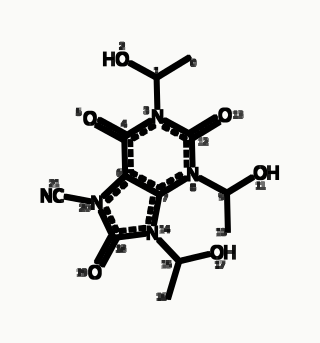 CC(O)n1c(=O)c2c(n(C(C)O)c1=O)n(C(C)O)c(=O)n2C#N